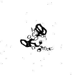 CCCCCCCCS(=O)(=O)CCC1(C(=O)OC(C)(C)C23CC4CC(CC(C4)C2)C3)C(=O)C2CCC1C2